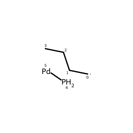 [CH2]CCC.[PH2][Pd]